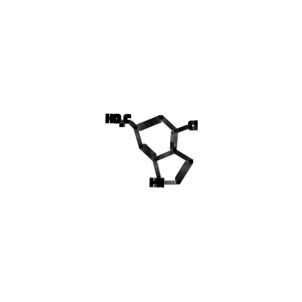 O=C(O)c1cc(Cl)c2cc[nH]c2c1